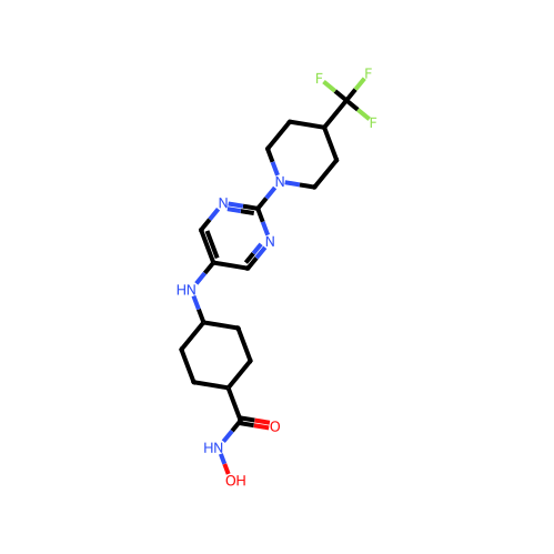 O=C(NO)C1CCC(Nc2cnc(N3CCC(C(F)(F)F)CC3)nc2)CC1